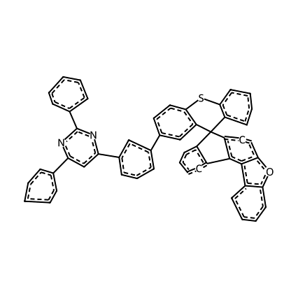 c1ccc(-c2cc(-c3cccc(-c4ccc5c(c4)C4(c6ccccc6S5)c5ccccc5-c5c4ccc4oc6ccccc6c54)c3)nc(-c3ccccc3)n2)cc1